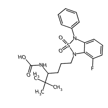 CC(C)(C)C(CCCN1c2c(F)cccc2N(c2ccccc2)S1(=O)=O)NC(=O)O